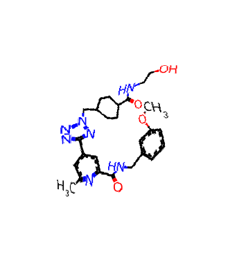 COc1cccc(CNC(=O)c2cc(-c3nnn(CC4CCC(C(=O)NCCO)CC4)n3)cc(C)n2)c1